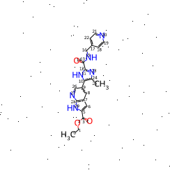 CCOC(=O)c1cc2cc(-c3[nH]c(C(=O)NCc4ccncc4)nc3C)cnc2[nH]1